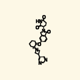 O=C1CCC(N2Cc3cc(O[C@H]4CCCC[C@H]4N4CC(c5cncnc5)C4)ccc3C2=O)C(=O)N1